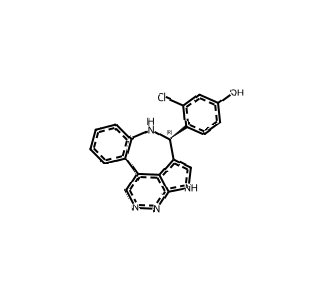 Oc1ccc([C@@H]2Nc3ccccc3-c3cnnc4[nH]cc2c34)c(Cl)c1